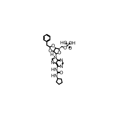 O=C(Nc1ncnc2c1ncn2[C@@H]1O[C@H](COP(=O)(O)O)C2OC(Cc3ccccc3)O[C@@H]21)NC1CCCC1